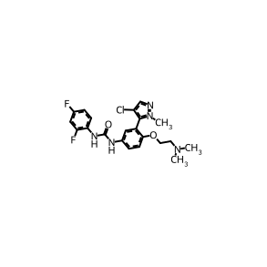 CN(C)CCOc1ccc(NC(=O)Nc2ccc(F)cc2F)cc1-c1c(Cl)cnn1C